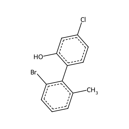 Cc1cccc(Br)c1-c1ccc(Cl)cc1O